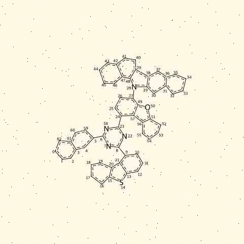 c1ccc2cc(-c3nc(-c4cccc5sc6ccccc6c45)nc(-c4ccc(-n5c6cc7ccccc7cc6c6ccc7ccccc7c65)c5oc6ccccc6c45)n3)ccc2c1